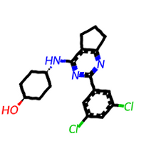 O[C@H]1CC[C@H](Nc2nc(-c3cc(Cl)cc(Cl)c3)nc3c2CCC3)CC1